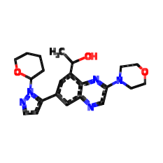 CC(O)c1cc(-c2ccnn2C2CCCCO2)cc2ncc(N3CCOCC3)nc12